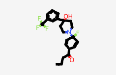 CCCC(=O)C1C=CC(F)(N2CCC(O)(c3cccc(C(F)(F)F)c3)CC2)C=C1